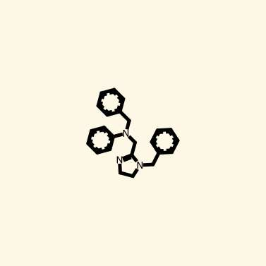 c1ccc(CN2CCN=C2CN(Cc2ccccc2)c2ccccc2)cc1